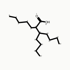 CCCCCC(C(=O)O)C(CCCC)CCCC